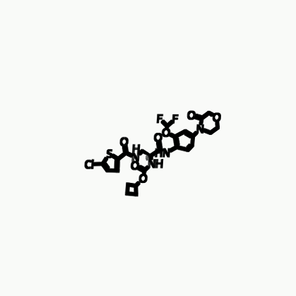 O=C(N[C@@H](CNC(=O)c1ccc(Cl)s1)C(=O)Nc1ccc(N2CCOCC2=O)cc1OC(F)F)OC1CCC1